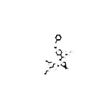 C=CCC[C@@H](NC(=O)[C@@H]1C2C(CN1C(=O)C(NC(=O)OC(C)(C)C)C1CCN(C(=O)OCc3ccccc3)CC1)C2(C)C)C(=O)C(=O)NCC=C